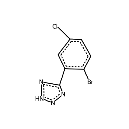 Clc1ccc(Br)c(-c2nn[nH]n2)c1